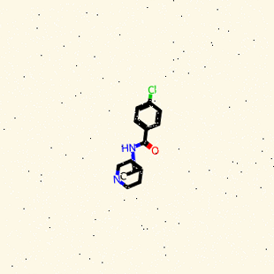 O=C(NC1CN2CCC1CC2)c1ccc(Cl)cc1